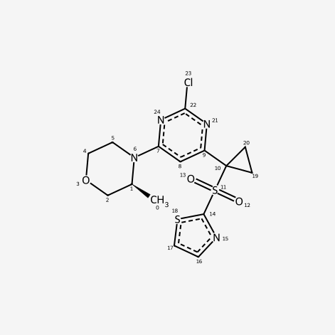 C[C@H]1COCCN1c1cc(C2(S(=O)(=O)c3nccs3)CC2)nc(Cl)n1